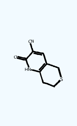 N#Cc1cc2c([nH]c1=O)CCSC2